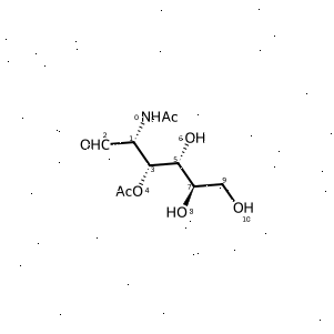 CC(=O)N[C@@H](C=O)[C@@H](OC(C)=O)[C@H](O)[C@H](O)CO